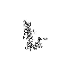 CNC(=O)COc1cc2cc(Nc3nc(N4CC[C@H](CN5CCN(c6c(F)ccc7c(C8CCC(=O)NC8=O)nn(C)c67)CC5)[C@H](C)C4)ncc3Cl)cnc2n(C(C)C)c1=O